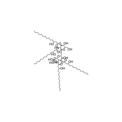 CCCCCCCCCCCC(O)CC(=O)NC1[C@H](OCC2OC(OP(=O)(O)O)C(NC(=O)CC(O)CCCCCCCCCCC)[C@@H](OC(=O)CC(O)CCCCCCCCCCC)[C@@H]2O)OC(CO)C(O)[C@@H]1OC(=O)CC(O)CCCCCCCCCCC